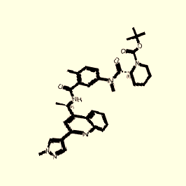 Cc1ccc(N(C)C(=O)[C@H]2CCCCN2C(=O)OC(C)(C)C)cc1C(=O)N[C@H](C)c1cc(-c2cnn(C)c2)nc2ccccc12